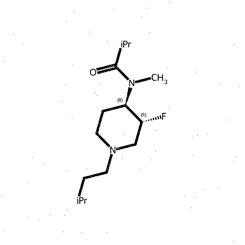 CC(C)CCN1CC[C@@H](N(C)C(=O)C(C)C)[C@H](F)C1